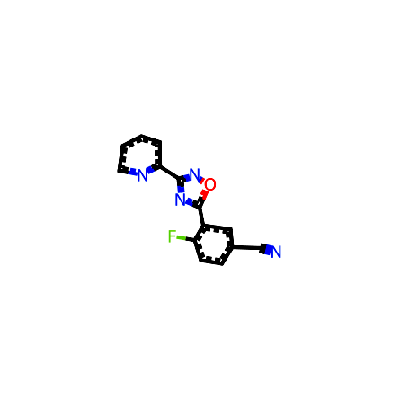 N#Cc1ccc(F)c(-c2nc(-c3ccccn3)no2)c1